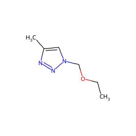 CCOCn1cc(C)nn1